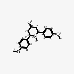 COc1ccc(C2CC(=O)CC(c3ccc(OC)cc3)N2C)cc1